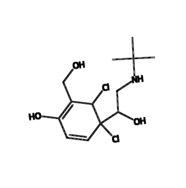 CC(C)(C)NCC(O)C1(Cl)C=CC(O)=C(CO)C1Cl